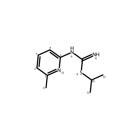 Cc1cccc(NC(=N)SC(C)C)n1